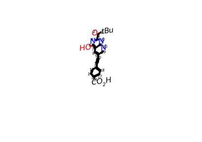 CC(C)(C)C(=O)c1nc(O)c2cc(C#Cc3ccc(C(=O)O)cc3)cnc2n1